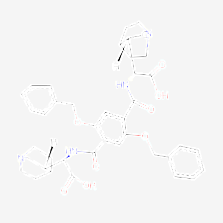 O=C(N[C@@H](C(=O)O)[C@H]1CN2CCC1CC2)c1cc(OCc2ccccc2)c(C(=O)N[C@@H](C(=O)O)[C@H]2CN3CCC2CC3)cc1OCc1ccccc1